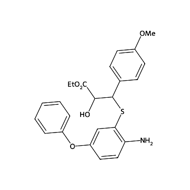 CCOC(=O)C(O)C(Sc1cc(Oc2ccccc2)ccc1N)c1ccc(OC)cc1